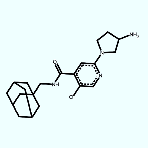 NC1CCN(c2cc(C(=O)NCC34CC5CC(CC(C5)C3)C4)c(Cl)cn2)C1